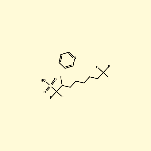 O=S(=O)(O)C(F)(F)C(F)CCCCCC(F)(F)F.c1ccncc1